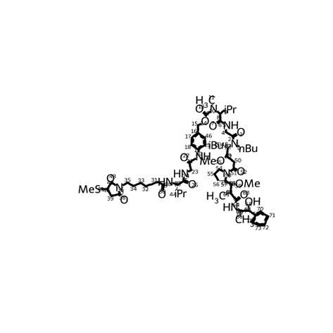 CCCCN(C(=O)CNC(=O)C(C(C)C)N(C)C(=O)OCc1ccc(NC(=O)CNC(=O)[C@@H](NC(=O)CCCCCN2C(=O)CC(SC)C2=O)C(C)C)cc1)[C@@H]([C@@H](C)CC)[C@@H](CC(=O)N1CCC[C@H]1[C@H](OC)[C@@H](C)C(=O)N[C@H](C)[C@@H](O)c1ccccc1)OC